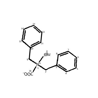 CC(C)(C)[N+](Cc1ccccc1)(Cc1ccccc1)C(=O)[O-]